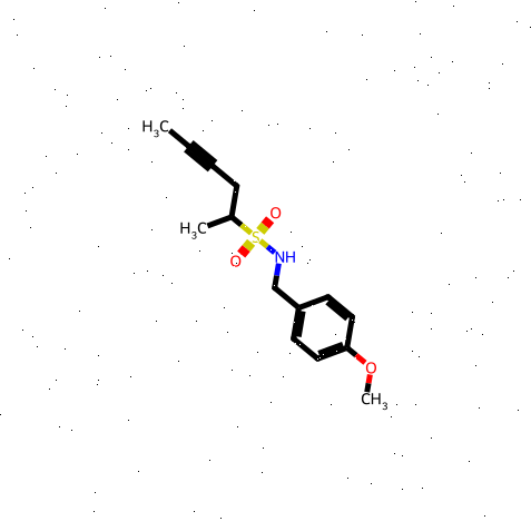 CC#CCC(C)S(=O)(=O)NCc1ccc(OC)cc1